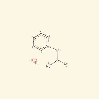 CC(=O)C(C#N)Cc1ccccc1.O